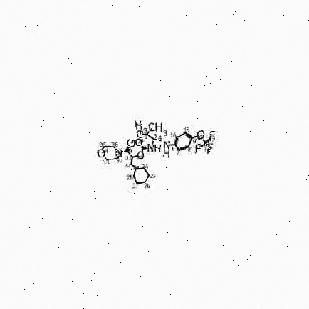 CC(C)C(CNc1ccc(OC(F)(F)F)cc1)NC(=O)OC(CC1CCCCC1)C(=O)N1CCOCC1